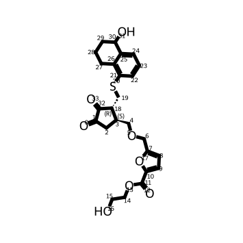 O=C1C[C@H](COCc2ccc(C(=O)OCCO)o2)[C@@H](CSc2cccc3c2CCCC3O)C1=O